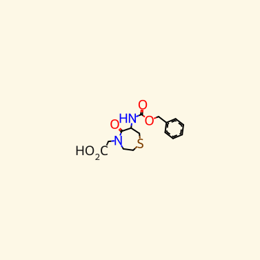 O=C(O)CN1CCSCC(NC(=O)OCc2ccccc2)C1=O